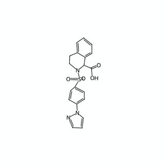 O=C(O)C1c2ccccc2CCN1S(=O)(=O)c1ccc(-n2cccn2)cc1